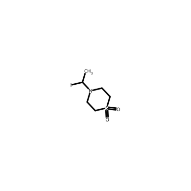 CC(I)N1CCS(=O)(=O)CC1